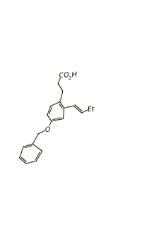 CCC=Cc1cc(OCc2ccccc2)ccc1CCC(=O)O